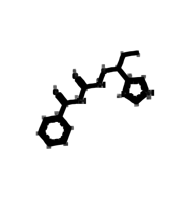 CCC(ONC(=O)NC(=O)c1ccccc1)c1c[nH]cn1